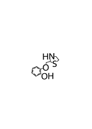 Oc1ccccc1OCC1NCCS1